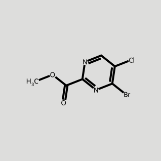 COC(=O)c1ncc(Cl)c(Br)n1